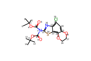 CC(C)(C)OC(=O)N(C(=O)OC(C)(C)C)c1nc2c(Cl)cc3c(c2s1)OCCO3